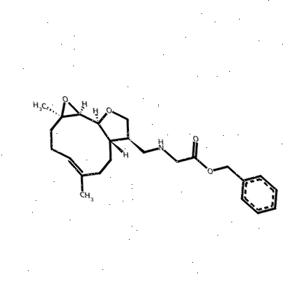 C/C1=C\CC[C@@]2(C)O[C@H]2[C@H]2OC[C@@H](CNCC(=O)OCc3ccccc3)[C@@H]2CC1